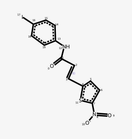 O=C(/C=C/c1ccc([N+](=O)[O-])s1)Nc1ccc(I)cc1